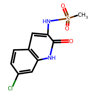 CS(=O)(=O)Nc1cc2ccc(Cl)cc2[nH]c1=O